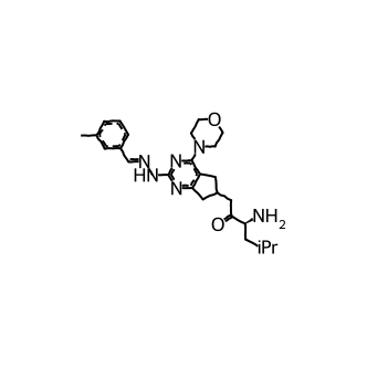 Cc1cccc(/C=N/Nc2nc3c(c(N4CCOCC4)n2)CC(CC(=O)[C@@H](N)CC(C)C)C3)c1